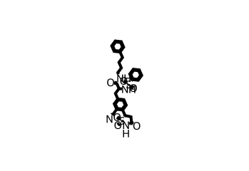 N#Cc1cc(CC(NS(=O)(=O)c2ccccc2)C(=O)NCCCCc2ccccc2)ccc1C1CC(=O)NS1(=O)=O